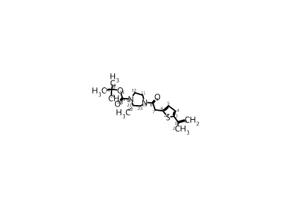 C=C(C)c1ccc(CC(=O)N2CCN(C(=O)OC(C)(C)C)[C@@H](C)C2)s1